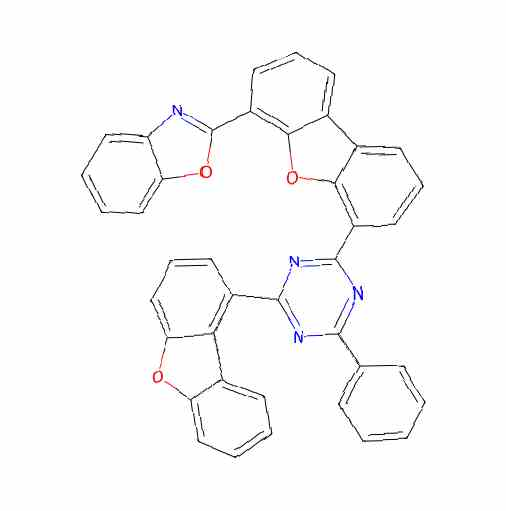 c1ccc(-c2nc(-c3cccc4c3oc3c(-c5nc6ccccc6o5)cccc34)nc(-c3cccc4oc5ccccc5c34)n2)cc1